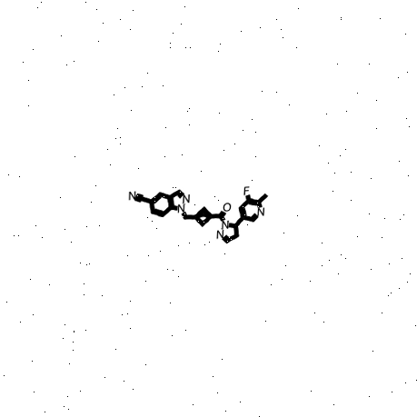 Cc1ncc(C2CC=NN2C(=O)C23CC(Cn4ncc5cc(C#N)ccc54)(C2)C3)cc1F